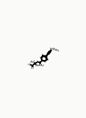 CCCCCCC#Cc1ccc(C(=O)CC(NC(C)=O)(C(C)=O)C(=O)I)cc1